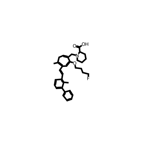 CC1=C(/C=C/c2cccc(-c3ccccc3)c2C)C=C(OCCCCF)C(CN2CCCCC2C(=O)O)=CC1